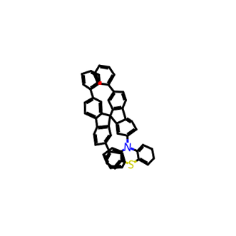 C1=C2Sc3ccccc3N(c3ccc4c(c3)C3(c5cc(-c6ccccc6)ccc5-c5ccc(-c6ccccc6)cc53)c3cc(-c5ccccc5)ccc3-4)C2=CCC1